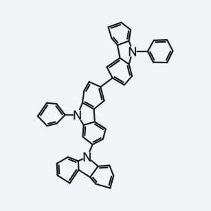 c1ccc(-n2c3ccccc3c3cc(-c4ccc5c(c4)c4ccc(-n6c7ccccc7c7ccccc76)cc4n5-c4ccccc4)ccc32)cc1